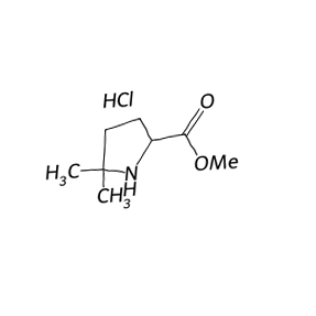 COC(=O)C1CCC(C)(C)N1.Cl